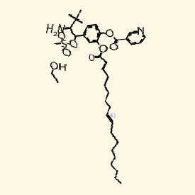 CCCCCCCC/C=C/CCCCCCCC(=O)Oc1cc(C(OS(C)(=O)=O)C(N)C(C)(C)C)ccc1OC(=O)c1cccnc1.CCO